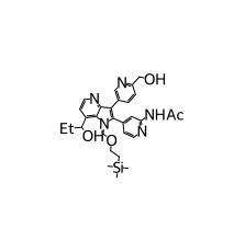 CCC(O)c1ccnc2c(-c3ccc(CO)nc3)c(-c3ccnc(NC(C)=O)c3)n(COCC[Si](C)(C)C)c12